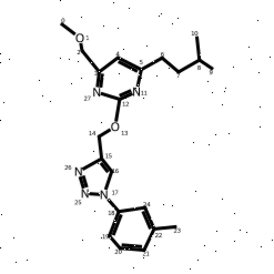 COCc1cc(CCC(C)C)nc(OCc2cn(-c3cccc(C)c3)nn2)n1